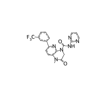 CN1C(=O)CN(C(=O)Nc2ncccn2)c2nc(-c3cccc(C(F)(F)F)c3)ccc21